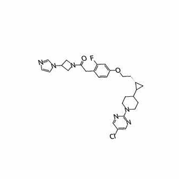 O=C(Cc1ccc(OCC[C@@H]2CC2C2CCN(c3ncc(Cl)cn3)CC2)cc1F)N1CC(n2ccnc2)C1